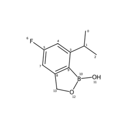 CC(C)c1cc(F)cc2c1B(O)OC2